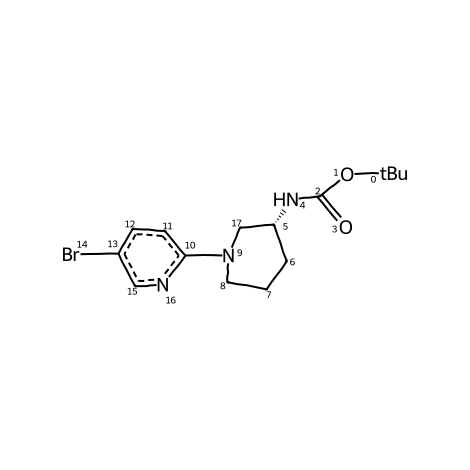 CC(C)(C)OC(=O)N[C@@H]1CCCN(c2ccc(Br)cn2)C1